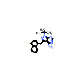 CC(C)(C)n1nc(Cc2ccc(F)c3ccccc23)c2c(N)ncnc21